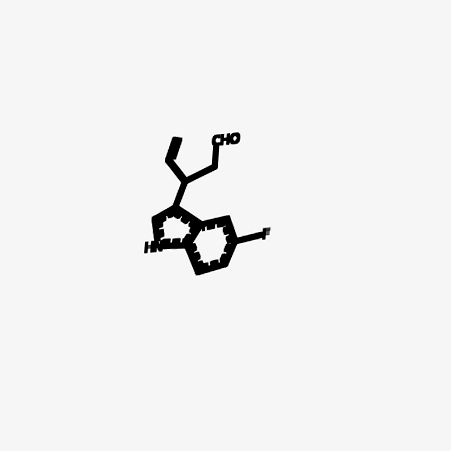 C=CC(CC=O)c1c[nH]c2ccc(F)cc12